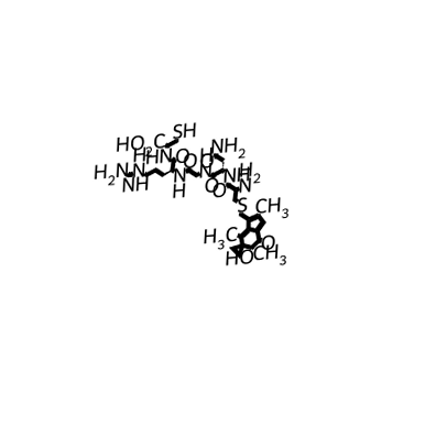 CC1=C(CSCC(N)C(=O)N[C@@H](CC(N)=O)C(=O)NCC(=O)N[C@@H](CCCNC(=N)N)C(=O)NC(CS)C(=O)O)C2=C(C)C3(CC3)[C@@](C)(O)C(=O)C2=C1